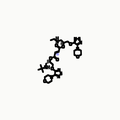 CCNC[C@@H](COc1nsnc1N1CCOCC1)OC(=O)/C=C/C(=O)O[C@@H](CNC(C)(C)C)COc1nsnc1N1CCOCC1